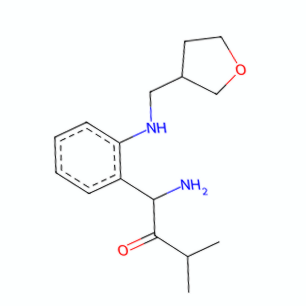 CC(C)C(=O)C(N)c1ccccc1NCC1CCOC1